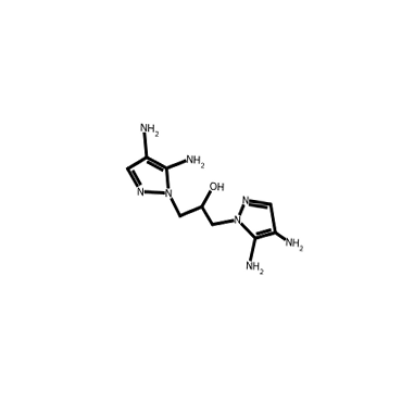 Nc1cnn(CC(O)Cn2ncc(N)c2N)c1N